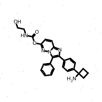 NC1(c2ccc(-c3nc4ccc(OC(=O)NCCO)nn4c3-c3ccccc3)cc2)CCC1